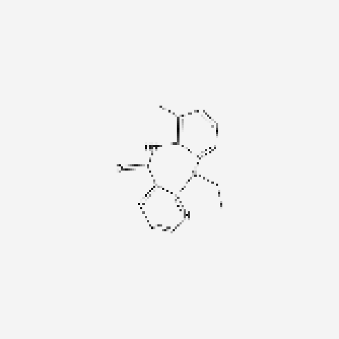 CCN1c2cccc(C)c2NC(=O)c2cccnc21